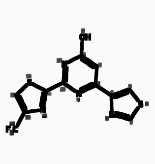 Oc1cc(-c2cscn2)nc(-c2nc(C(F)(F)F)cs2)n1